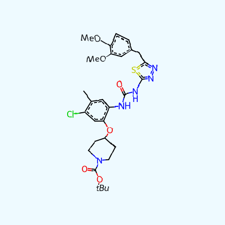 COc1ccc(Cc2nnc(NC(=O)Nc3cc(C)c(Cl)cc3OC3CCN(C(=O)OC(C)(C)C)CC3)s2)cc1OC